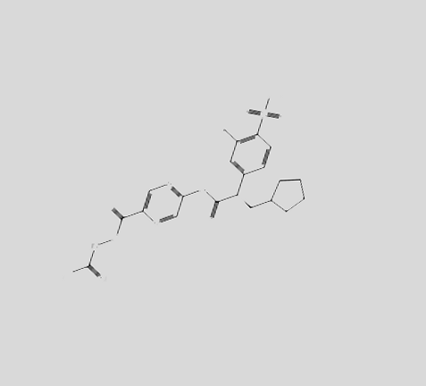 CC(=N)NOC(=O)c1cnc(NC(=O)[C@H](CC2CCCC2)c2ccc(S(C)(=O)=O)c(Cl)c2)cn1